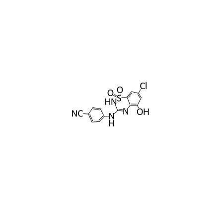 N#Cc1ccc(NC2=Nc3c(O)cc(Cl)cc3S(=O)(=O)N2)cc1